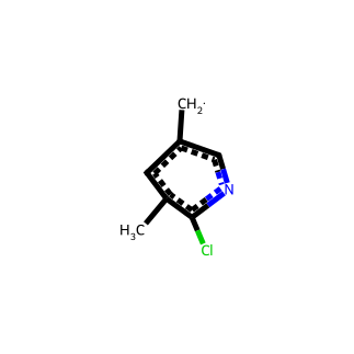 [CH2]c1cnc(Cl)c(C)c1